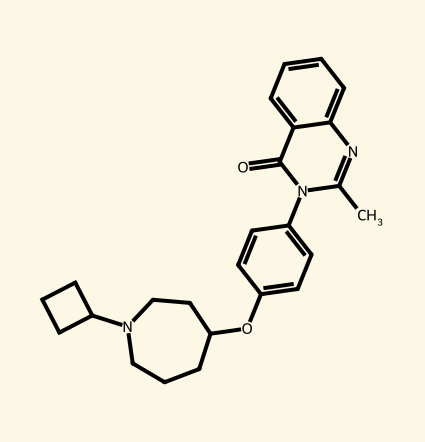 Cc1nc2ccccc2c(=O)n1-c1ccc(OC2CCCN(C3CCC3)CC2)cc1